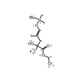 C/C(=C\O[Si](C)(C)C(C)(C)C)CC(O)(C(=O)OCC(F)(F)F)C(F)(F)F